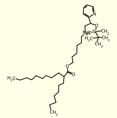 CCCCCCCCCC(CCCCCCC)C(=O)OCCCCCCNCC(O[Si](C)(C)C(C)(C)C)c1ccccn1